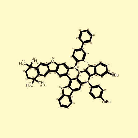 CCCCc1ccc(N2c3cc4c(oc5ccccc54)c4c3B(c3sc5ccc(CCCC)cc5c32)N(c2ccc(-c3ccccc3)cc2)c2cc3oc5cc6c(cc5c3cc2-4)C(C)(C)CCC6(C)C)cc1